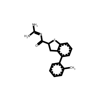 Cc1ccccc1-c1cccc2c1CC(C(=O)N=C(N)N)S2